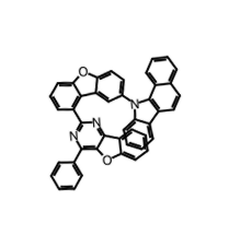 c1ccc(-c2nc(-c3cccc4oc5ccc(-n6c7ccccc7c7ccc8ccccc8c76)cc5c34)nc3c2oc2ccccc23)cc1